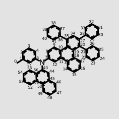 Cc1cccc(N(c2ccc3c(c2)c2ccccc2c2c(-c4ccccc4)c(-c4ccccc4)cc(-c4ccccc4)c32)c2cc3ccccc3c3ccccc23)c1